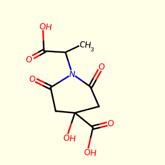 CC(C(=O)O)N1C(=O)CC(O)(C(=O)O)CC1=O